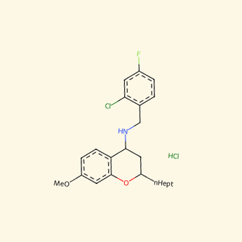 CCCCCCCC1CC(NCc2ccc(F)cc2Cl)c2ccc(OC)cc2O1.Cl